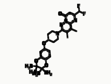 BC1(B)Oc2ccc(OC3CCN(c4nn5c(=O)cc(C(F)F)nc5c(C)c4C)CC3)cc2OC1(B)B